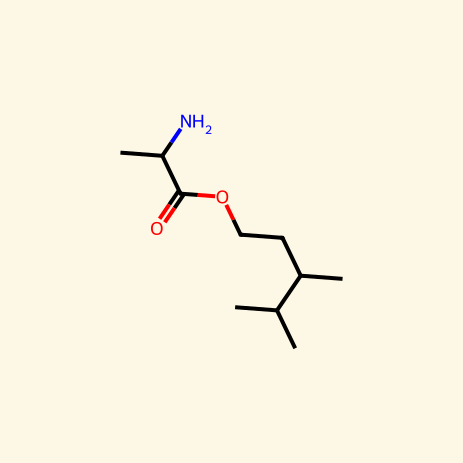 CC(N)C(=O)OCCC(C)C(C)C